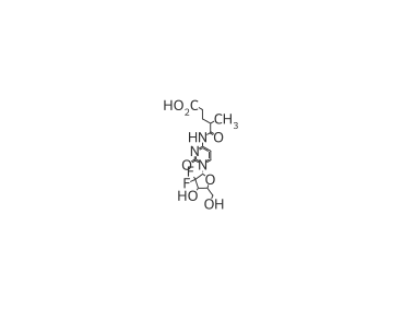 CC(CCC(=O)O)C(=O)Nc1ccn([C@@H]2OC(CO)C(O)C2(F)F)c(=O)n1